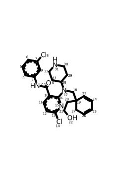 O=C(Nc1cccc(Cl)c1)c1ccc(Cl)nc1N(CC1(CCO)C=CC=CC1)C1CCNCC1